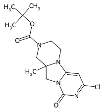 CC(C)(C)OC(=O)N1CCN2c3cc(Cl)nc(=O)n3CC2(C)C1